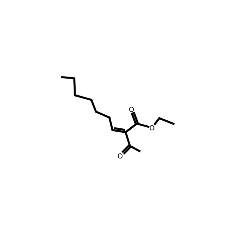 CCCCCCC=C(C(C)=O)C(=O)OCC